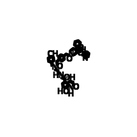 Cc1ccc(CN(CCCNC[C@H](O)c2ccc(O)c3[nH]c(=O)ccc23)C(=O)Cc2ccc(CC(=O)N3CCC(C(=O)O[C@H]4CN5CCC4CC5)(c4ccccc4)CC3)cc2)cc1